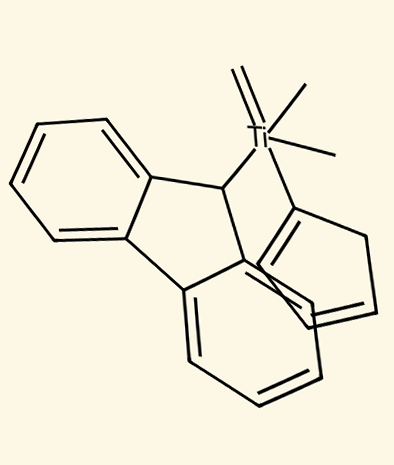 [CH2]=[Ti]([CH3])([CH3])([C]1=CC=CC1)[CH]1c2ccccc2-c2ccccc21